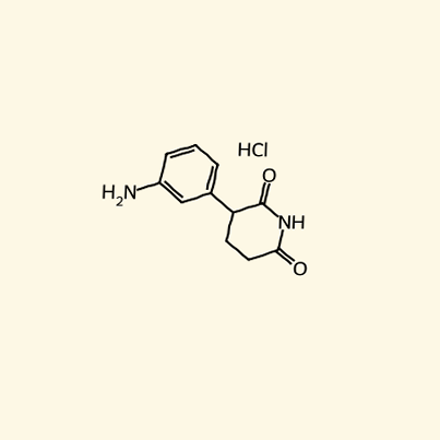 Cl.Nc1cccc(C2CCC(=O)NC2=O)c1